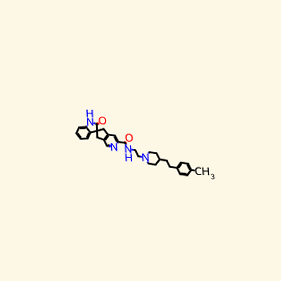 Cc1ccc(CCC2CCN(CCNC(=O)c3cc4c(cn3)CC3(C4)C(=O)Nc4ccccc43)CC2)cc1